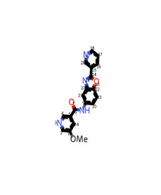 COc1cncc(C(=O)Nc2ccc3oc(-c4cccnc4)nc3c2)c1